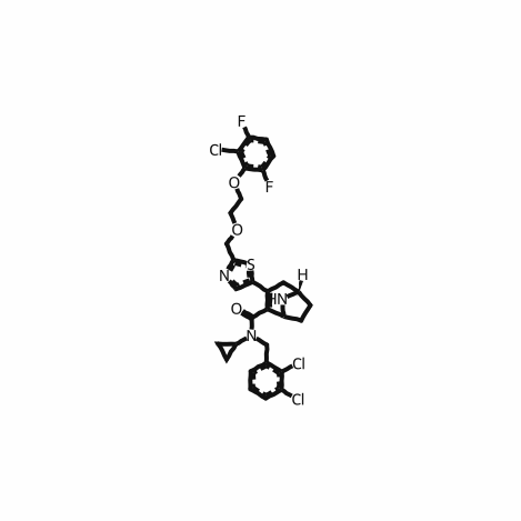 O=C(C1=C(c2cnc(COCCOc3c(F)ccc(F)c3Cl)s2)C[C@@H]2CCC1N2)N(Cc1cccc(Cl)c1Cl)C1CC1